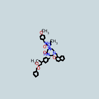 CCCN(C(=O)NCc1ccc(OC)cc1)N1CCN(Cc2cccc3ccccc23)C(=O)[C@H](Cc2ccc(C(CC)CC(=O)OCc3ccccc3)cc2)NC(=O)C1